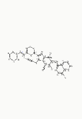 CC#CCn1c(N2CCCC(/N=C/C3CCCCC3)C2)nc2c1c(=O)n(Cc1nc(C)c3ccccc3n1)c(=O)n2C